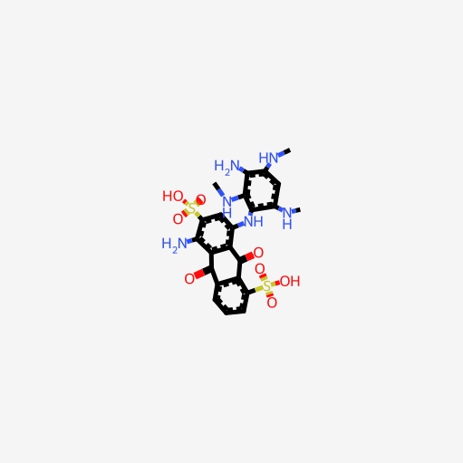 CNc1cc(NC)c(Nc2cc(S(=O)(=O)O)c(N)c3c2C(=O)c2c(cccc2S(=O)(=O)O)C3=O)c(NC)c1N